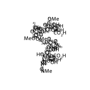 CNOCCn1cc(CNC(O)c2cc(COC(=O)N3c4cc(OCCCCCOc5cc6c(cc5OC)C(=O)N5C=C(C)C[C@H]5C(O)N6C(=O)OCc5ccc(O[C@@H]6O[C@H](C(=O)O)[C@@H](O)[C@H](O)[C@H]6O)c(C(=O)NCCOC)c5)c(OC)cc4C(=O)N4C=C(C)C[C@H]4C3O)ccc2O[C@@H]2O[C@H](C(=O)O)[C@@H](O)[C@H](O)[C@H]2O)nn1